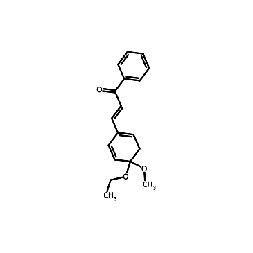 CCOC1(OC)C=CC(C=CC(=O)c2ccccc2)=CC1